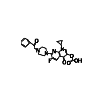 O=C(O)Oc1cn(C2CC2)c2nc(N3CCN(CC(=O)c4ccccc4)CC3)c(F)cc2c1=O